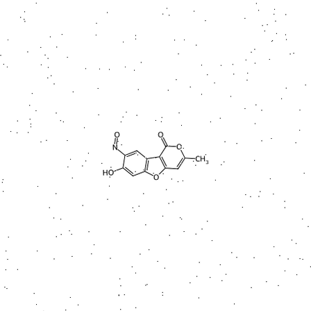 Cc1cc2oc3cc(O)c(N=O)cc3c2c(=O)o1